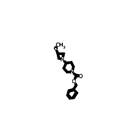 COC1CN(C2CCN(C(=O)OCc3ccccc3)CC2)C1